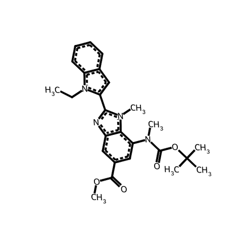 CCn1c(-c2nc3cc(C(=O)OC)cc(N(C)C(=O)OC(C)(C)C)c3n2C)cc2ccccc21